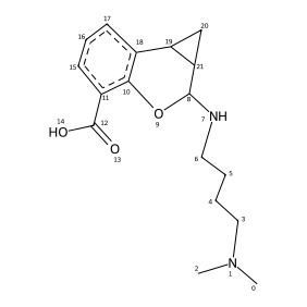 CN(C)CCCCNC1Oc2c(C(=O)O)cccc2C2CC12